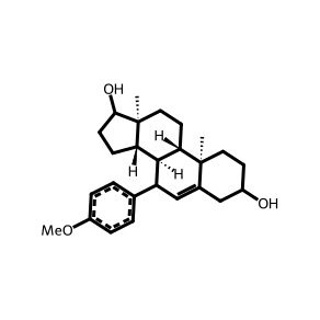 COc1ccc(C2C=C3CC(O)CC[C@]3(C)[C@H]3CC[C@]4(C)C(O)CC[C@H]4[C@H]23)cc1